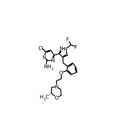 C[C@@H]1CN(CCOc2ccccc2Cc2cn(C(F)F)nc2-c2cc(Cl)nc(N)n2)CCO1